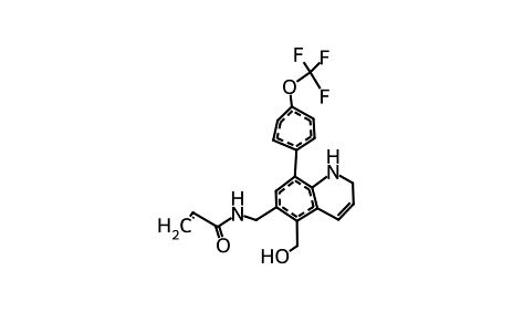 C=CC(=O)NCc1cc(-c2ccc(OC(F)(F)F)cc2)c2c(c1CO)C=CCN2